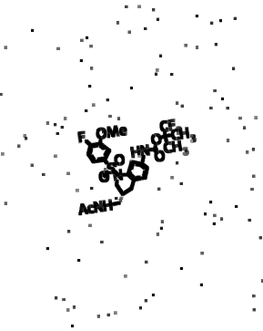 COc1cc(S(=O)(=O)N2C[C@@H](CNC(C)=O)Cc3ccc(NC(=O)OC(C)(C)C(F)(F)F)cc32)ccc1F